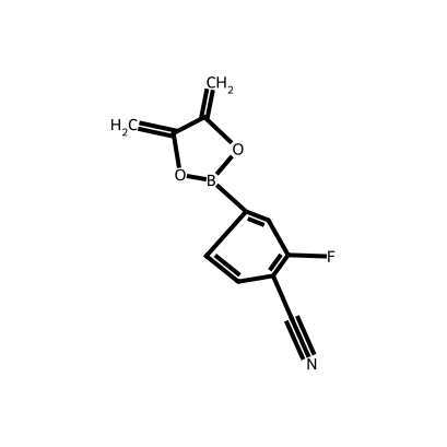 C=C1OB(c2ccc(C#N)c(F)c2)OC1=C